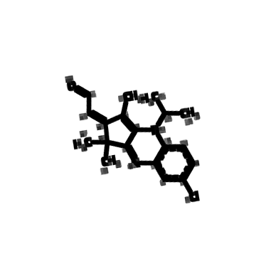 CC1=C2C(=Nc3cc(Cl)ccc3N2C(C)C)C(C)(C)C1=CC=O